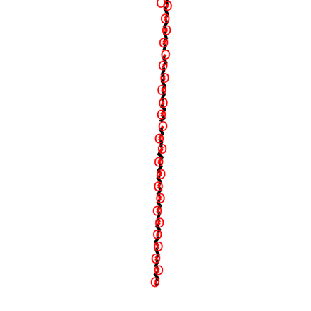 C=CC(=O)OCCOCCOCCOCCOCCOCCOCCOCCOCCOCCOCCOCCOCCOCCOCCOCCOCCOCCOCCOCCOCCOCCOCCOC